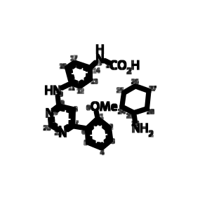 COc1ccccc1-c1cc(Nc2ccc(NC(=O)O)cc2)ncn1.NC1CCCCC1